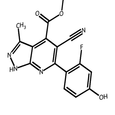 CCOC(=O)c1c(C#N)c(-c2ccc(O)cc2F)nc2[nH]nc(C)c12